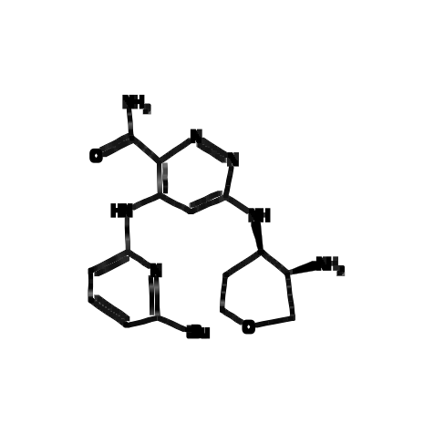 CC(C)(C)c1cccc(Nc2cc(N[C@@H]3CCOC[C@@H]3N)nnc2C(N)=O)n1